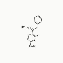 COc1ccc(OCc2ccccc2)c(C)c1.Cl.N